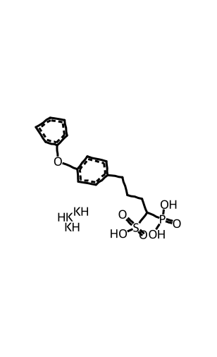 O=P(O)(O)C(CCCc1ccc(Oc2ccccc2)cc1)S(=O)(=O)O.[KH].[KH].[KH]